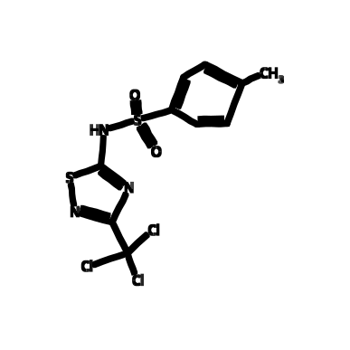 Cc1ccc(S(=O)(=O)Nc2nc(C(Cl)(Cl)Cl)ns2)cc1